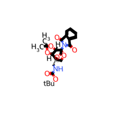 CC(C)(C)OC(=O)NC[C@@]12COC(N3C(=O)c4ccccc4C3=O)(CO1)[C@H]1OC(C)(C)O[C@H]12